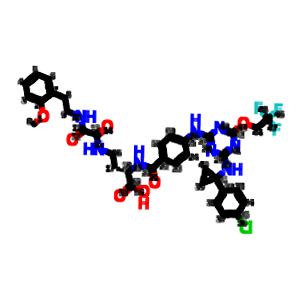 COc1ccccc1CCNC(=O)C(=O)NCC[C@H](NC(=O)c1ccc(Nc2nc(NC3(c4ccc(Cl)cc4)CC3)nc(OCC(F)(F)F)n2)cc1)C(=O)O